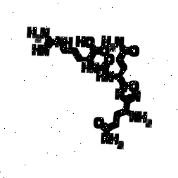 N=C(N)NCCC[C@H](NC(=O)N[C@@H](CCC(N)=O)c1nc([C@@H](N)CCC(N)=O)no1)C(=O)O